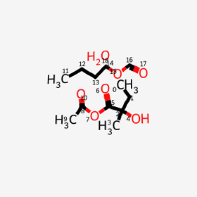 CCC(C)(O)C(=O)OC(C)=O.CCCCOC=O.O